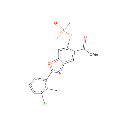 COC(=O)c1cc2nc(-c3cccc(Br)c3C)oc2cc1OS(C)(=O)=O